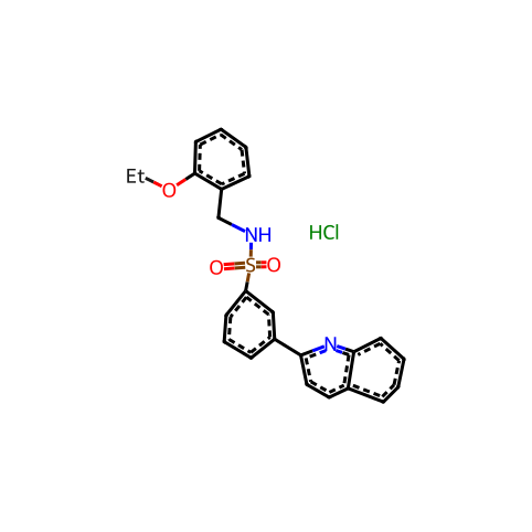 CCOc1ccccc1CNS(=O)(=O)c1cccc(-c2ccc3ccccc3n2)c1.Cl